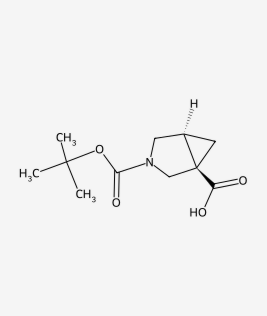 CC(C)(C)OC(=O)N1C[C@H]2C[C@]2(C(=O)O)C1